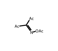 CC(=O)ON=C(C(C)=O)C(C)=O